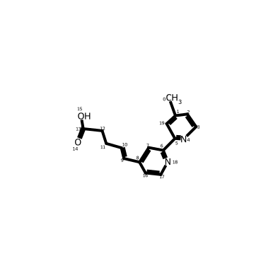 Cc1ccnc(-c2cc(C=CCCC(=O)O)ccn2)c1